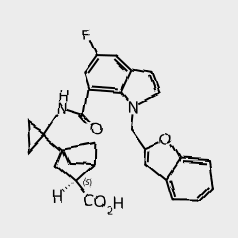 O=C(NC1(C23CC(C2)[C@@H](C(=O)O)C3)CC1)c1cc(F)cc2ccn(Cc3cc4ccccc4o3)c12